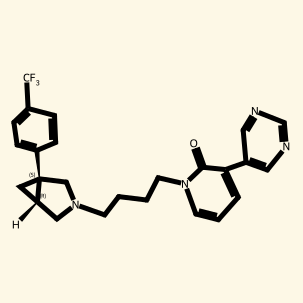 O=c1c(-c2cncnc2)cccn1CCCCN1C[C@@H]2C[C@]2(c2ccc(C(F)(F)F)cc2)C1